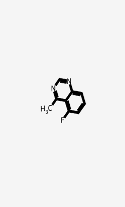 Cc1ncnc2cccc(F)c12